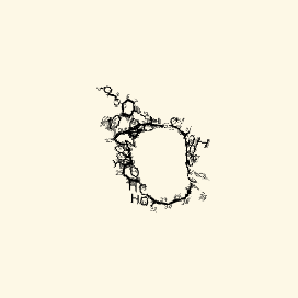 COCCO[C@@H]1CC[C@@H](C[C@H]2C3CCCN4C(=O)C(=O)[C@]5(O)O[C@@H](CC[C@H]5C)C[C@H](O)/C(C)=C/C=C/C=C/[C@@H](C)C[C@@H](C)C(=O)[C@H](OC)[C@H](O)/C(C)=C/[C@@H](C)C(=O)C[C@@H]2OC(=O)[C@H]34)C[C@H]1OC